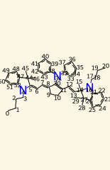 CCCCN1/C(=C/C=C2\CCC(/C=C/C3(C)N(CCCC)c4ccccc4C3(C)C)=C2N(c2ccccc2)c2ccccc2)C(C)(C)c2ccccc21